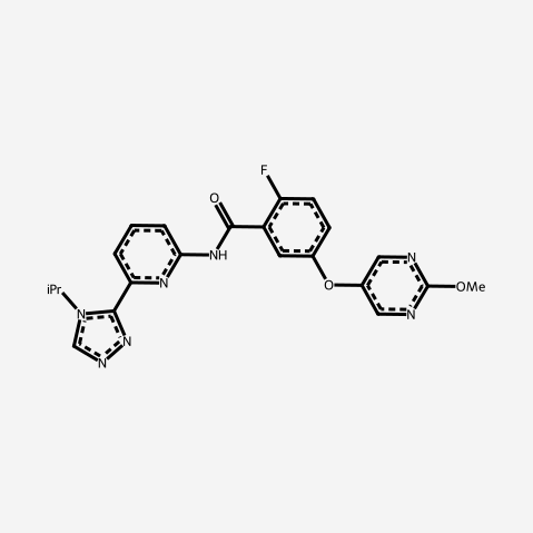 COc1ncc(Oc2ccc(F)c(C(=O)Nc3cccc(-c4nncn4C(C)C)n3)c2)cn1